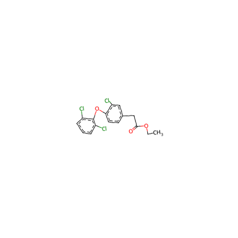 CCOC(=O)Cc1ccc(Oc2c(Cl)cccc2Cl)c(Cl)c1